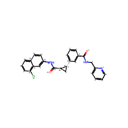 O=C(NCc1ccccn1)c1cccc([C@@H]2C[C@H]2C(=O)Nc2ccc3cccc(Cl)c3c2)c1